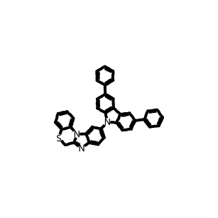 c1ccc(-c2ccc3c(c2)c2cc(-c4ccccc4)ccc2n3-c2ccc3nc4n(c3c2)-c2ccccc2SC4)cc1